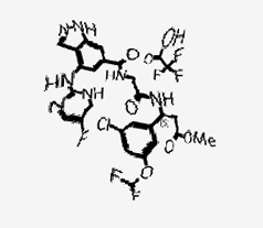 COC(=O)C[C@H](NC(=O)CNC(=O)c1cc(NC2=NCC(F)CN2)c2cn[nH]c2c1)c1cc(Cl)cc(OC(F)F)c1.O=C(O)C(F)(F)F